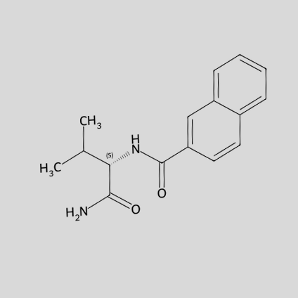 CC(C)[C@H](NC(=O)c1ccc2ccccc2c1)C(N)=O